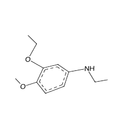 CCNc1ccc(OC)c(OCC)c1